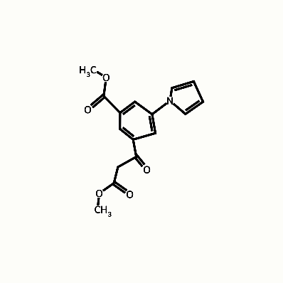 COC(=O)CC(=O)c1cc(C(=O)OC)cc(-n2cccc2)c1